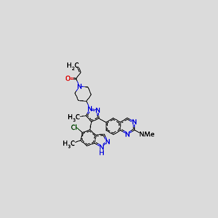 C=CC(=O)N1CCC(n2nc(-c3ccc4nc(NC)ncc4c3)c(-c3c(Cl)c(C)cc4[nH]ncc34)c2C)CC1